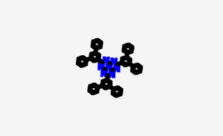 c1ccc(-c2cc(C3=NC4=NC(c5cc(-c6ccccc6)cc(-c6ccccc6)c5)=NC5=NC(c6cc(-c7ccccc7)cc(-c7ccccc7)c6)=NC(=N3)N45)cc(-c3ccccc3)c2)cc1